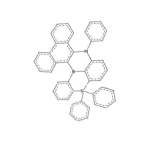 c1ccc(N2c3cccc4c3B(c3ccccc3[Si]4(c3ccccc3)c3ccccc3)c3c2c2ccccc2c2ccccc32)cc1